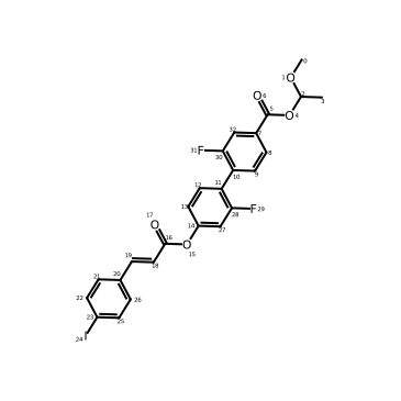 COC(C)OC(=O)c1ccc(-c2ccc(OC(=O)/C=C/c3ccc(I)cc3)cc2F)c(F)c1